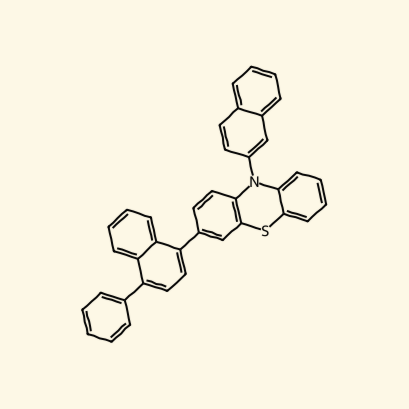 c1ccc(-c2ccc(-c3ccc4c(c3)Sc3ccccc3N4c3ccc4ccccc4c3)c3ccccc23)cc1